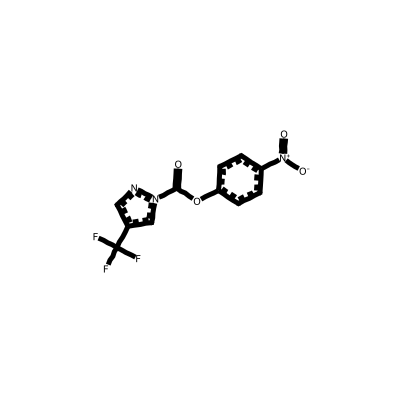 O=C(Oc1ccc([N+](=O)[O-])cc1)n1cc(C(F)(F)F)cn1